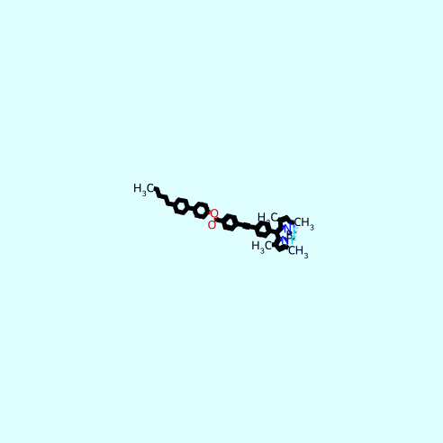 CCCCCC1CCC(C2CCC(OC(=O)c3ccc(C#Cc4ccc(C5=C6C(C)=CC(C)=[N+]6[B-](F)(F)n6c(C)cc(C)c65)cc4)cc3)CC2)CC1